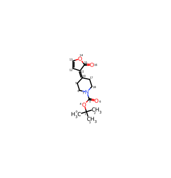 CC(C)(C)OC(=O)N1CCC(=C2C=COC2=O)CC1